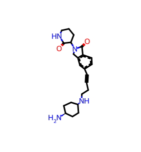 N[C@H]1CC[C@@H](NCCC#Cc2ccc3c(c2)CN(C2CCCNC2=O)C3=O)CC1